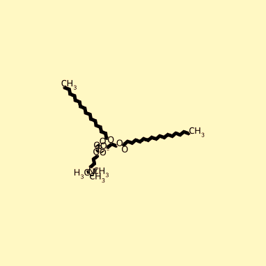 CCCCCCCCCCCCCCCCCC(=O)OCC(COP(=O)([O-])OCCCC[N+](C)(C)C)OC(=O)CCCCCCCCCCCCCCCCC